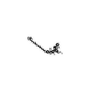 COC(=O)CCCCCOCCOCCOCCCCCCOc1ccc([C@@H](C)Nc2cccc(NC3(c4nnc(-c5ccncc5)[nH]4)CCN(C)CC3)c2)cc1